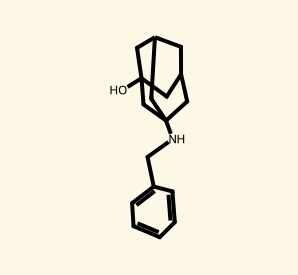 OC12CC3CC(C1)CC(NCc1ccccc1)(C3)C2